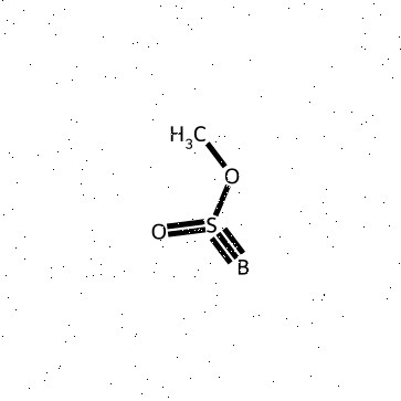 B#S(=O)OC